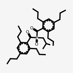 CCCc1cc(CCC)c(C(=O)P(=O)(CC(C)C)C(=O)c2c(CCC)cc(CCC)cc2CCC)c(CCC)c1